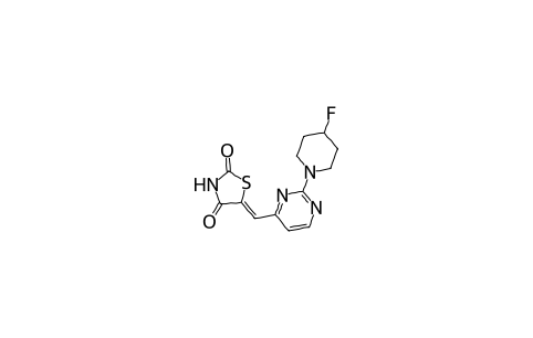 O=C1NC(=O)C(=Cc2ccnc(N3CCC(F)CC3)n2)S1